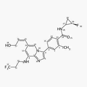 Cc1cc(-c2cnc3c(NCCC(F)(F)F)cc(/C=C\CO)cn23)ccc1C(=O)NC1C[C@H]1F